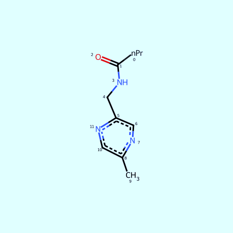 CCCC(=O)NCc1cnc(C)cn1